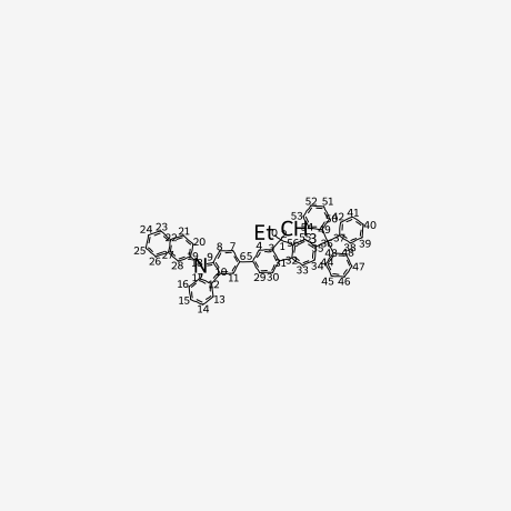 CCC1(C)c2cc(-c3ccc4c(c3)c3ccccc3n4-c3ccc4ccccc4c3)ccc2-c2ccc(C(c3ccccc3)(c3ccccc3)c3ccccc3)cc21